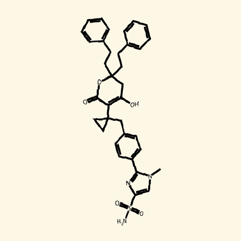 Cn1cc(S(N)(=O)=O)nc1-c1ccc(CC2(C3=C(O)CC(CCc4ccccc4)(CCc4ccccc4)OC3=O)CC2)cc1